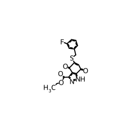 CCOC(=O)c1n[nH]c2c1C(=O)C(SCc1cccc(F)c1)=CC2=O